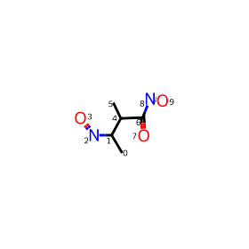 CC(N=O)C(C)C(=O)N=O